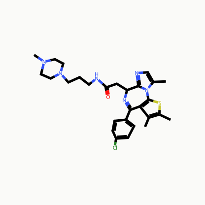 Cc1sc2c(c1C)C(c1ccc(Cl)cc1)=NC(CC(=O)NCCCN1CCN(C)CC1)c1ncc(C)n1-2